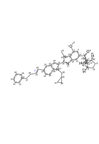 COc1cc(C(=O)N2C[C@H]3CC[C@@H]2[C@H]3N)cc2nc(-c3cc4cc(/C=C/CCc5ccccc5)ccc4n3CC3CC3)n(C)c12